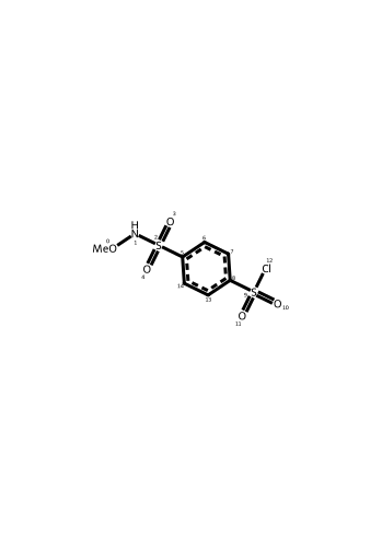 CONS(=O)(=O)c1ccc(S(=O)(=O)Cl)cc1